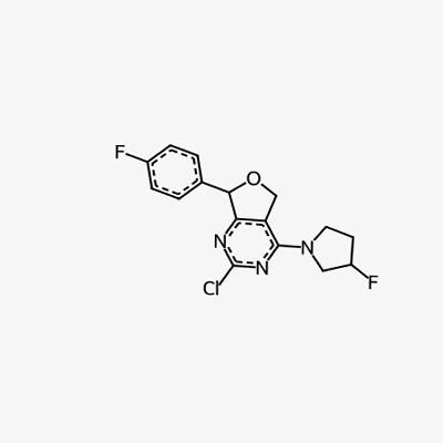 Fc1ccc(C2OCc3c2nc(Cl)nc3N2CCC(F)C2)cc1